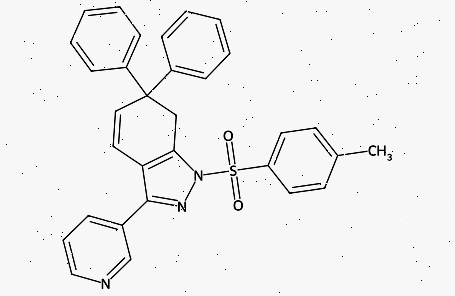 Cc1ccc(S(=O)(=O)n2nc(-c3cccnc3)c3c2CC(c2ccccc2)(c2ccccc2)C=C3)cc1